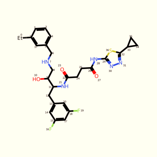 CCc1cccc(CNCC(O)C(Cc2cc(F)cc(F)c2)NC(=O)CCC(=O)Nc2nnc(C3CC3)s2)c1